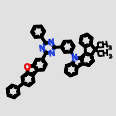 CC1(C)c2ccccc2-c2c1ccc1c3ccccc3n(-c3cccc(-c4nc(-c5ccccc5)nc(-c5ccc6c(c5)oc5cc(-c7ccccc7)ccc56)n4)c3)c21